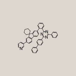 c1ccc(-c2ccc(-c3nc(-c4ccccc4)nc(-c4ccccc4-c4ccc5c(c4)C4(CCCCC4)c4cc(-c6cccnc6)ccc4-5)n3)cc2)cc1